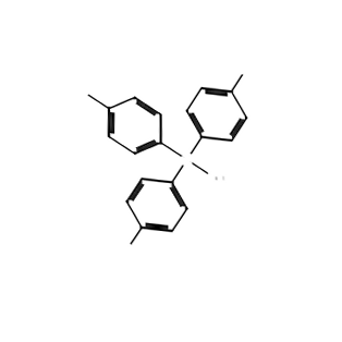 CCCC[B-](c1ccc(F)cc1)(c1ccc(F)cc1)c1ccc(F)cc1.[Li+]